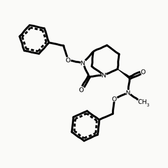 CN(OCc1ccccc1)C(=O)[C@@H]1CCC2CN1C(=O)N2OCc1ccccc1